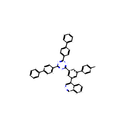 Cc1ccc(-c2cc(-c3nc(-c4ccc(-c5ccccc5)cc4)nc(-c4ccc(-c5ccccc5)cc4)n3)cc(-c3cncc4ccccc34)c2)cc1